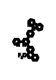 FC(F)(F)c1cc2ccccc2c2ccc(-c3cc(-c4ccc(-n5c6ccccc6c6cccnc65)cc4)cc(-c4ccccn4)n3)cc12